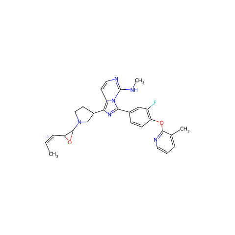 C/C=C\C1OC1N1CCC(c2nc(-c3ccc(Oc4ncccc4C)c(F)c3)n3c(NC)nccc23)C1